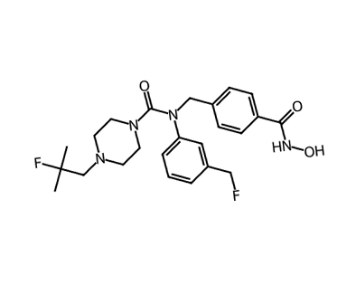 CC(C)(F)CN1CCN(C(=O)N(Cc2ccc(C(=O)NO)cc2)c2cccc(CF)c2)CC1